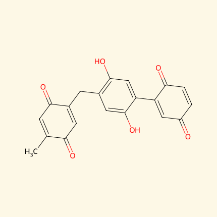 CC1=CC(=O)C(Cc2cc(O)c(C3=CC(=O)C=CC3=O)cc2O)=CC1=O